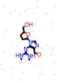 CNC(=Nc1c(C=O)ncn1C1CCC(CO)O1)NC